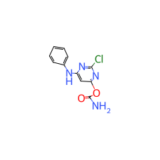 NC(=O)Oc1cc(Nc2ccccc2)nc(Cl)n1